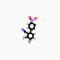 N#Cc1c(-c2ccc([N+](=O)[O-])cc2)ccc(I)c1F